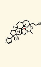 CC(OC1(CCN)CCC2CC[C@@H]3[C@@H](CC[C@@]4(C)[C@H]3CCC4(O)c3ccoc3)[C@@]2(C)C1)N1CCCC1